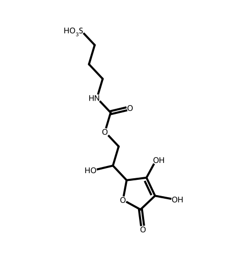 O=C(NCCCS(=O)(=O)O)OCC(O)C1OC(=O)C(O)=C1O